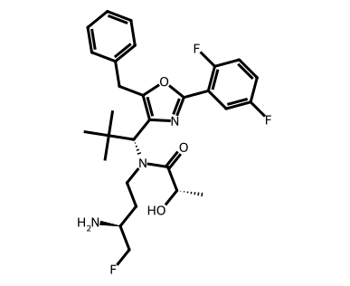 C[C@H](O)C(=O)N(CC[C@H](N)CF)[C@@H](c1nc(-c2cc(F)ccc2F)oc1Cc1ccccc1)C(C)(C)C